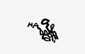 C=C(C=Cc1ccccc1)C(=O)O.C=CC(=O)OCCCC